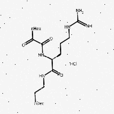 CCCCCCCCCCCCNC(=O)[C@H](CCCNC(=N)N)NC(=O)C(=O)CCCCCC.Cl